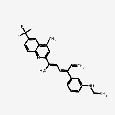 C=C/C(=C\C=C(/C)c1cc(C)c2cc(C(F)(F)F)ccc2n1)c1cccc(NCC)c1